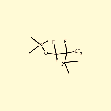 C[Si](C)(C)OC(F)(F)C(F)(C(F)(F)F)[Si](C)(C)C